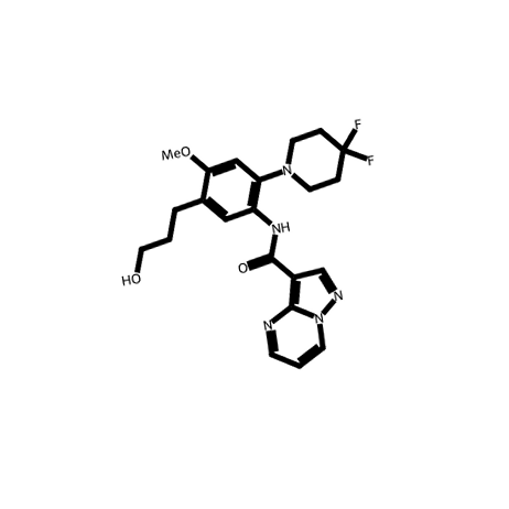 COc1cc(N2CCC(F)(F)CC2)c(NC(=O)c2cnn3cccnc23)cc1CCCO